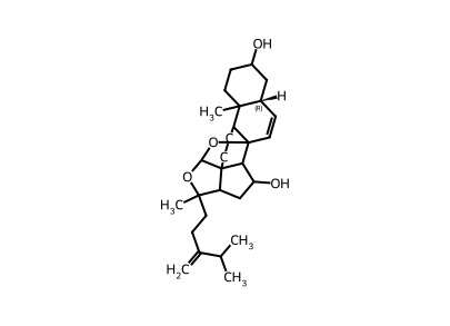 C=C(CCC1(C)OC2OC34C=C[C@H]5CC(O)CCC5(C)C3CCC23C1CC(O)C43)C(C)C